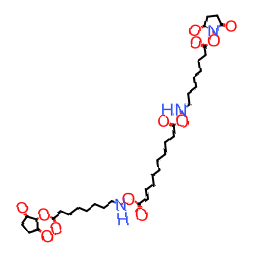 O=C(CCCCCCCCCC(=O)ONCCCCCCCC(=O)ON1C(=O)CCC1=O)ONCCCCCCCC(=O)OC1C(=O)CCC1=O